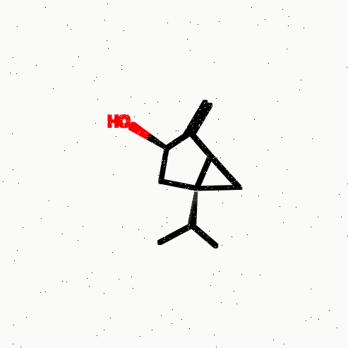 C=C1C2C[C@@]2(C(C)C)C[C@H]1O